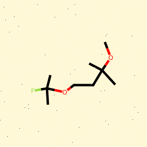 COC(C)(C)CCOC(C)(C)F